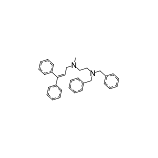 CN(CC=C(c1ccccc1)c1ccccc1)CCN(Cc1ccccc1)Cc1ccccc1